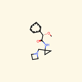 CO[C@H](C(=O)NC1(CN2CCC2)CC1)c1ccccc1